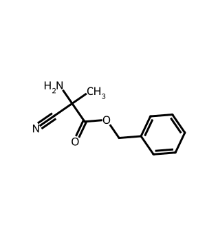 CC(N)(C#N)C(=O)OCc1ccccc1